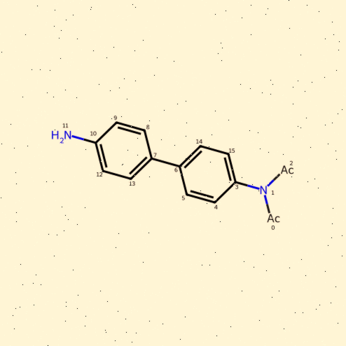 CC(=O)N(C(C)=O)c1ccc(-c2ccc(N)cc2)cc1